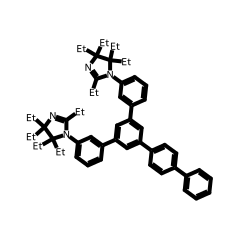 CCC1=NC(CC)(CC)C(CC)(CC)N1c1cccc(-c2cc(-c3ccc(-c4ccccc4)cc3)cc(-c3cccc(N4C(CC)=NC(CC)(CC)C4(CC)CC)c3)c2)c1